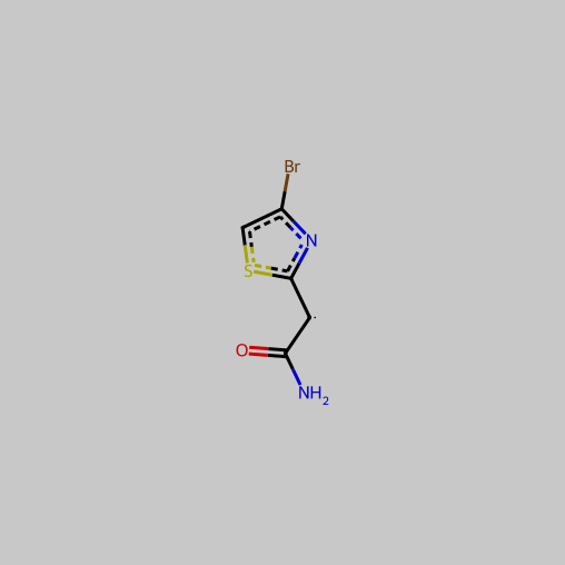 NC(=O)[CH]c1nc(Br)cs1